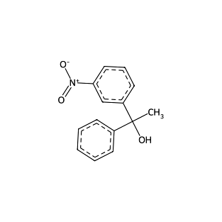 CC(O)(c1ccccc1)c1cccc([N+](=O)[O-])c1